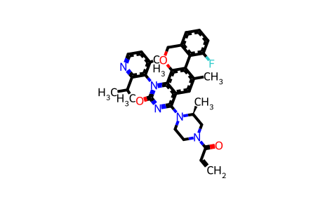 C=CC(=O)N1CCN(c2nc(=O)n(-c3c(C)ccnc3C(C)C)c3c4c(c(C)cc23)-c2c(F)cccc2CO4)[C@@H](C)C1